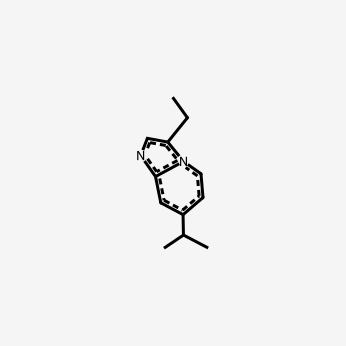 CCc1cnc2cc(C(C)C)ccn12